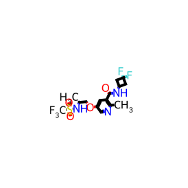 Cc1ncc(OC[C@H](C)NS(=O)(=O)C(F)(F)F)cc1C(=O)NC1CC(F)(F)C1